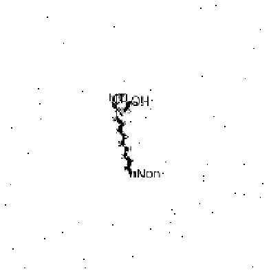 CCCCCCCCCCCCCCCCCCN(CCl)CC(O)O